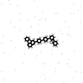 c1ccc2c(c1)-c1cccc3cc(-c4ccc(-c5ccc(-c6cccc7c6oc6ccccc67)cc5)cc4)cc-2c13